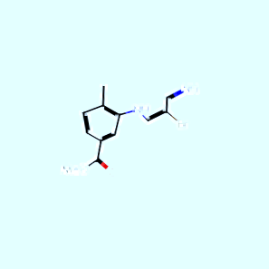 COC(=O)c1ccc(C)c(N/C=C(/Br)C=N)c1